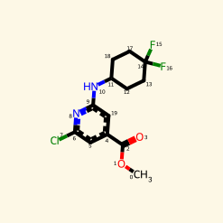 COC(=O)c1cc(Cl)nc(NC2CCC(F)(F)CC2)c1